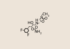 CCN1C[C@@H](CNC[C@H](O)[C@H](Cc2cc(F)cc(F)c2)OC(N)=O)OC1=O